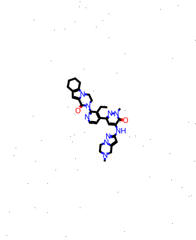 CCc1c(-c2cc(Nc3cc4n(n3)CCN(C)C4)c(=O)n(C)n2)ccnc1N1CCn2c(cc3c2CCCC3)C1=O